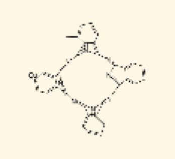 Ic1cccc2c3nc4nc(nc5[nH]c(nc6nc(nc([nH]3)c12)-c1ccccc1-6)c1ccccc51)-c1ccccc1-4.[Cu]